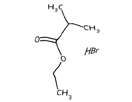 Br.CCOC(=O)C(C)C